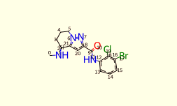 CN[C@H]1CCCn2nc(C(=O)Nc3cccc(Br)c3Cl)cc21